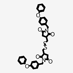 O=C1CC(CSSCC2CC(=O)N(Cc3ccc(Oc4ccccc4)cc3)C2=O)C(=O)N1Cc1ccc(Oc2ccccc2)cc1